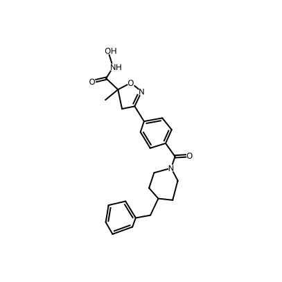 CC1(C(=O)NO)CC(c2ccc(C(=O)N3CCC(Cc4ccccc4)CC3)cc2)=NO1